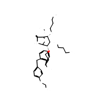 CCCCO[C@@H]1[C@@H](OCCCC)[C@@]2(c3ccc(Cl)c(Cc4ccc(OCC)cc4)c3)NC(=O)[C@](CO)(O2)[C@H]1OCCCC